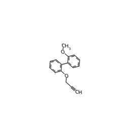 C#CCOc1[c]cccc1-c1ccccc1OC